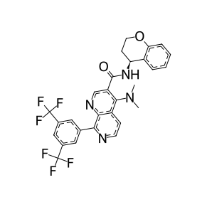 CN(C)c1c(C(=O)N[C@H]2CCOc3ccccc32)cnc2c(-c3cc(C(F)(F)F)cc(C(F)(F)F)c3)nccc12